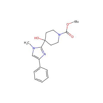 Cn1cc(-c2ccccc2)nc1C1(O)CCN(C(=O)OC(C)(C)C)CC1